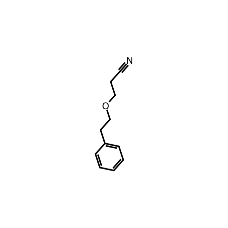 N#CCCOCCc1ccccc1